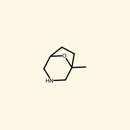 CC12CCC(CNC1)O2